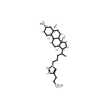 CC(CCCn1cc(CCC(=O)O)nn1)C1CC[C@H]2C3CC[C@@H]4C[C@H](O)CC[C@]4(C)C3CC[C@]12C